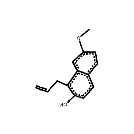 C=CCc1c(O)ccc2ccc(OC)cc12